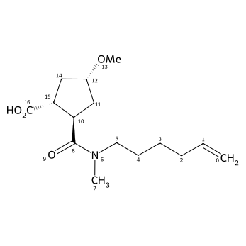 C=CCCCCN(C)C(=O)[C@@H]1C[C@@H](OC)C[C@H]1C(=O)O